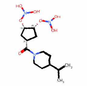 CC(C)C1CCN(C(=O)[C@@H]2C[C@H](ON(O)O)[C@H](ON(O)O)C2)CC1